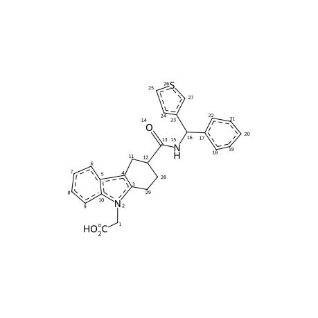 O=C(O)Cn1c2c(c3ccccc31)CC(C(=O)NC(c1ccccc1)c1ccsc1)CC2